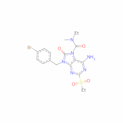 CCN(C)C(=O)n1c(=O)n(Cc2ccc(Br)cc2)c2nc(S(=O)(=O)CC)nc(N)c21